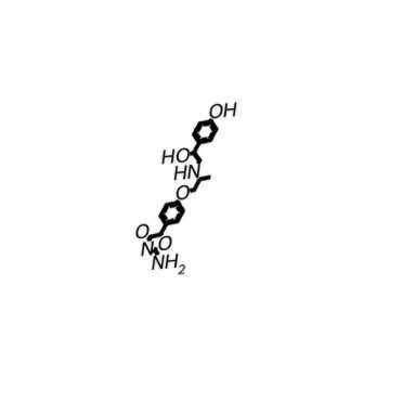 CC(COc1ccc(C2OC(N)=NC2=O)cc1)NCC(O)c1ccc(O)cc1